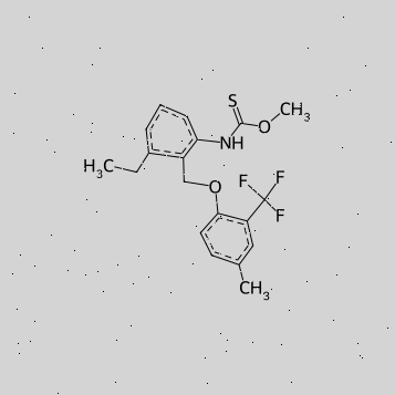 CCc1cccc(NC(=S)OC)c1COc1ccc(C)cc1C(F)(F)F